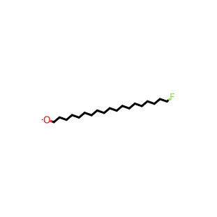 [O]CCCCCCCCCCCCCCCCCCCF